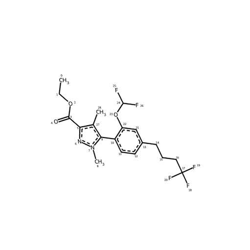 CCOC(=O)c1nn(C)c(-c2ccc(CCCC(F)(F)F)cc2OC(F)F)c1C